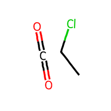 CCCl.O=C=O